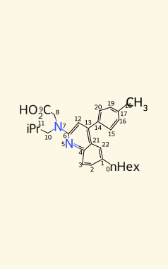 CCCCCCc1ccc2nc(N(CC(=O)O)CC(C)C)cc(-c3ccc(C)cc3)c2c1